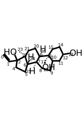 C=CC1(O)CC[C@H]2[C@@H]3CCC4CC(O)CC[C@]4(CO)[C@@H]3CC[C@@]21C